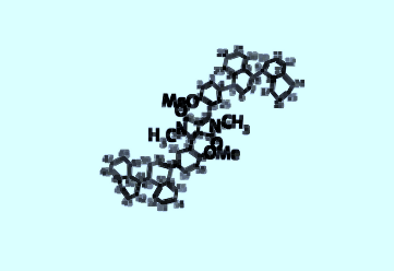 COc1ccc(-c2ccc(-c3cccc4ccccc34)c3ccccc23)cc1C1=C2C(=O)N(C)C(c3cc(-c4ccc(-c5cccc6ccccc56)c5ccccc45)ccc3OC)=C2C(=O)N1C